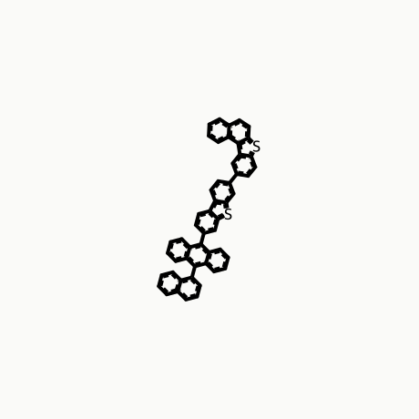 c1ccc2c(-c3c4ccccc4c(-c4ccc5c(c4)sc4cc(-c6ccc7sc8ccc9ccccc9c8c7c6)ccc45)c4ccccc34)cccc2c1